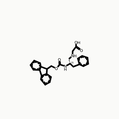 O=C(O)CNC[C@H](Cc1ccccc1)NC(=O)OCC1c2ccccc2-c2ccccc21